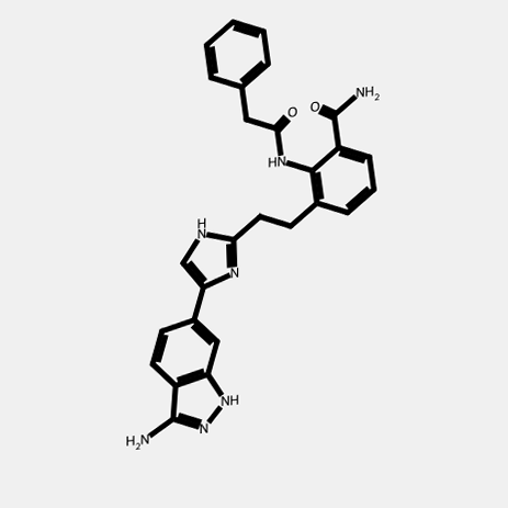 NC(=O)c1cccc(C[CH]c2nc(-c3ccc4c(N)n[nH]c4c3)c[nH]2)c1NC(=O)Cc1ccccc1